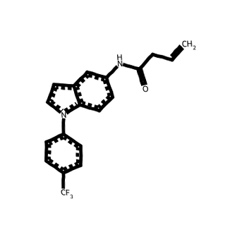 C=CCC(=O)Nc1ccc2c(ccn2-c2ccc(C(F)(F)F)cc2)c1